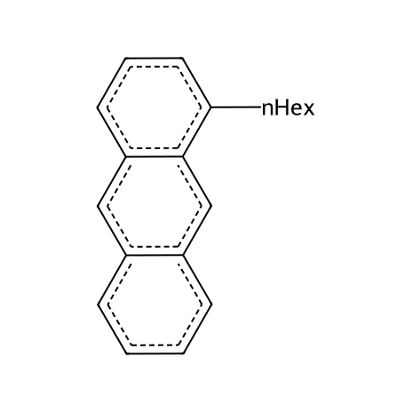 [CH2]CCCCCc1cccc2cc3ccccc3cc12